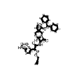 C#CCON=C(C(=O)NC1C(=O)N2CC(C=C)(C(=O)OC(c3ccccc3)c3ccccc3)CS[C@H]12)c1csc(NC=O)n1